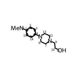 CNc1ccc(N2CCN(CCO)CC2)cc1